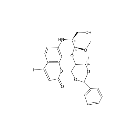 CO[C@@H](OC1COC(c2ccccc2)O[C@H]1C)[C@H](CO)Nc1ccc2c(I)cc(=O)oc2c1